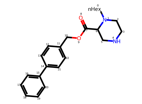 [CH2]CCCCCN1CCNCC1C(=O)OCc1ccc(-c2ccccc2)cc1